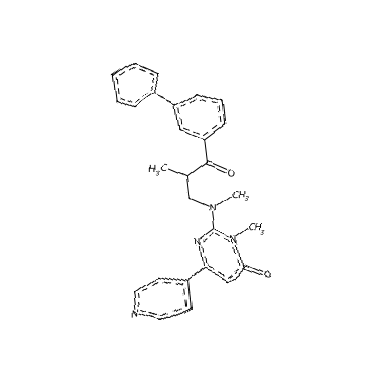 CC(CN(C)c1nc(-c2ccncc2)cc(=O)n1C)C(=O)c1cccc(-c2ccccc2)c1